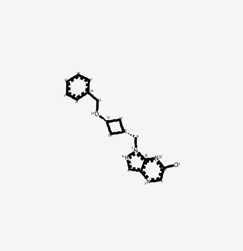 Clc1cnc2cnn(C[C@H]3C[C@H](OCc4ccccc4)C3)c2n1